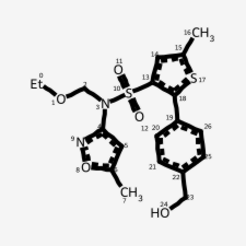 CCOCN(c1cc(C)on1)S(=O)(=O)c1cc(C)sc1-c1ccc(CO)cc1